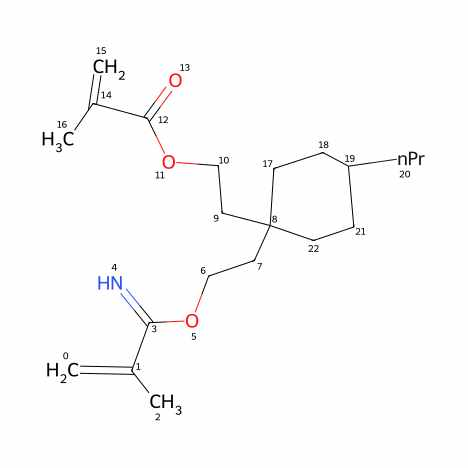 C=C(C)C(=N)OCCC1(CCOC(=O)C(=C)C)CCC(CCC)CC1